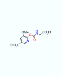 CCOC(=O)CNC(=O)Oc1ncc(C(=O)OCC)cc1OC